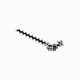 CCCCCCCCCCCCCCCCCCOC[C@H](COP(=O)([O-])OCC[N+](C)(C)C)OO